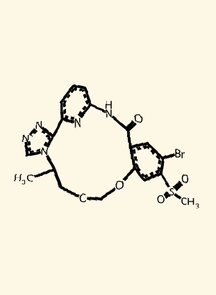 CC1CCCOc2cc(S(C)(=O)=O)c(Br)cc2C(=O)Nc2cccc(n2)-c2nncn21